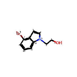 OCCn1ccc2c(Br)cccc21